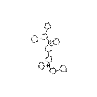 C1=CC2C(C=C1C1=Cc3c(n(C4=CC(c5ccccc5)=CC(c5ccccc5)C4)c4ccccc34)CC1)c1ccccc1N2c1cccc(-c2ccccc2)c1